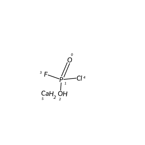 O=P(O)(F)Cl.[CaH2]